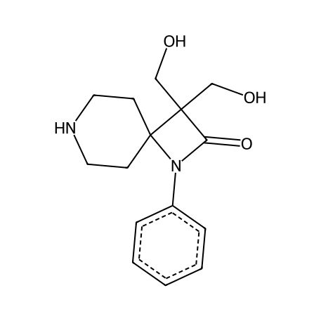 O=C1N(c2ccccc2)C2(CCNCC2)C1(CO)CO